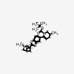 C[C@H]1CC=C(c2ccc3sc(C45CC(CN(C)C4)C5)nc3c2)N(C(=O)OC(C)(C)C)C1